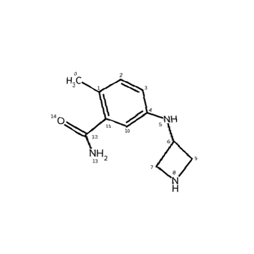 Cc1ccc(NC2CNC2)cc1C(N)=O